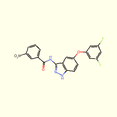 O=C(Nc1n[nH]c2ccc(Oc3cc(F)cc(F)c3)cc12)c1cccc([N+](=O)[O-])c1